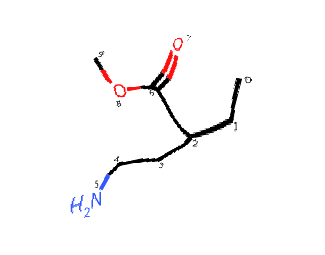 CCC(CCN)C(=O)OC